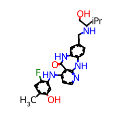 Cc1cc(F)c(Nc2ccnc3c2C(=O)Nc2cc(CNC(CO)C(C)C)ccc2N3)cc1O